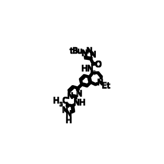 CCN1CC[C@H](NC(=O)c2cn(C(C)(C)C)nn2)c2ccc(-c3ccnc(Nc4c[nH]nc4C)n3)cc2C1